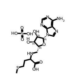 CSCCC(NC[C@H]1O[C@@H](n2cnc3c(N)ncnc32)[C@H](O)[C@@H]1O)C(=O)O.O=S(=O)(O)O